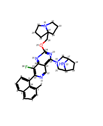 Cc1cccc2cccc(-c3ncc4c(N5CC6CCC(C5)N6)nc(OCC56CCCN5CCC6)nc4c3F)c12